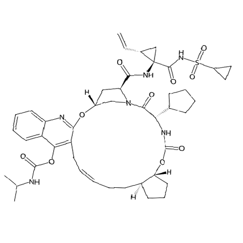 C=C[C@@H]1C[C@]1(NC(=O)[C@@H]1C[C@@H]2CN1C(=O)[C@H](C1CCCC1)NC(=O)O[C@@H]1CCC[C@H]1CCC=CCc1c(nc3ccccc3c1OC(=O)NC(C)C)O2)C(=O)NS(=O)(=O)C1CC1